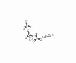 O.O=[Si]([O-])[O-].O=[Si]([O-])[O-].O=[Si]([O-])[O-].[Ca+2].[Ca+2].[Ca+2]